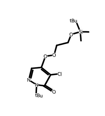 CC(C)(C)n1ncc(OOCCO[Si](C)(C)C(C)(C)C)c(Cl)c1=O